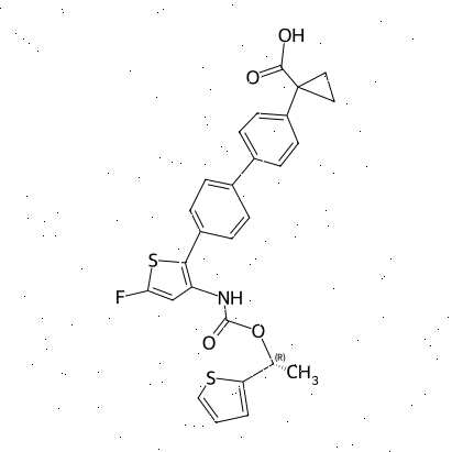 C[C@@H](OC(=O)Nc1cc(F)sc1-c1ccc(-c2ccc(C3(C(=O)O)CC3)cc2)cc1)c1cccs1